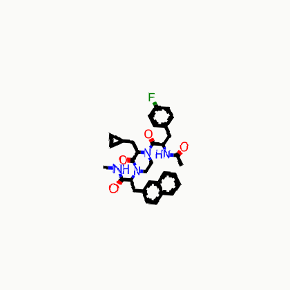 CNC(=O)C(Cc1ccc2ccccc2c1)N1CCN(C(=O)C(Cc2ccc(F)cc2)NC(C)=O)C(CC2CC2)C1=O